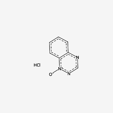 Cl.[O-][n+]1ncnc2ccccc21